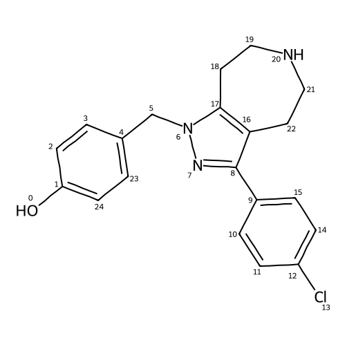 Oc1ccc(Cn2nc(-c3ccc(Cl)cc3)c3c2CCNCC3)cc1